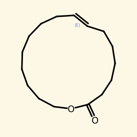 O=C1CCCCC/C=C/CCCCCCCCO1